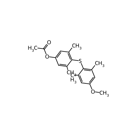 COc1cc(C)c(Sc2c(C)cc(OC(C)=O)cc2C)c(C)c1